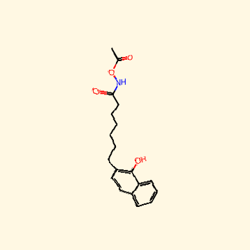 CC(=O)ONC(=O)CCCCCCc1ccc2ccccc2c1O